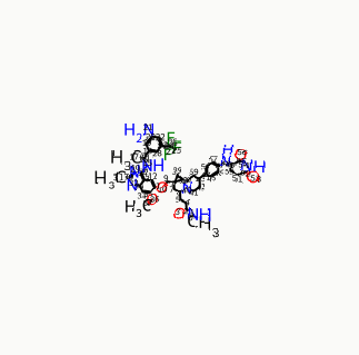 CNC(=O)CCC(CC1(COc2cc3c(N[C@H](C)c4cc(N)cc(C(F)(F)F)c4)nc(C)nc3cc2OC)CC1)N1CCC(c2ccc(NC3CCC(=O)NC3=O)cc2)CC1